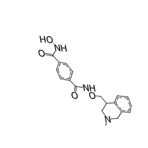 CN1Cc2ccccc2C(CONC(=O)c2ccc(C(=O)NO)cc2)C1